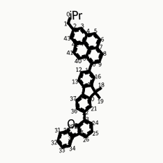 CC(C)Cc1cc2ccc3ccc(-c4ccc5c(c4)C(C)(C)c4cc(-c6cccc7c6oc6ccccc67)ccc4-5)c4ccc(c1)c2c34